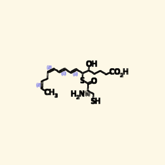 C/C=C\C\C=C/C=C/C=C/C(SC(=O)[C@@H](N)CS)C(O)CCCC(=O)O